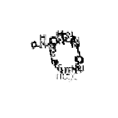 Nc1ncc2nc1C(=O)Nc1cccc(CNCC3CCC3)c1OCCOCCOCCN(CC(=O)O)S(=O)(=O)c1ccc-2cc1